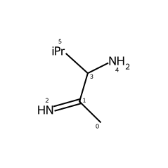 CC(=N)C(N)C(C)C